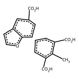 Cc1c(C(=O)O)cccc1C(=O)O.O=C(O)c1ccc2occc2c1